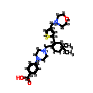 CC1(C)CCC(CN2CCN(c3ccc(C(=O)O)cc3)CC2)=C(c2cc(CN3CCOCC3)cs2)C1